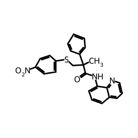 CC(CSc1ccc([N+](=O)[O-])cc1)(C(=O)Nc1cccc2cccnc12)c1ccccc1